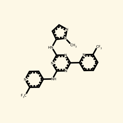 Cn1nccc1Nc1nc(Nc2ccnc(C(F)(F)F)c2)nc(-c2cccc(C(F)(F)F)n2)n1